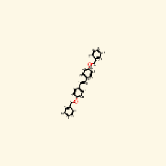 C(=Cc1ccc(OCc2ccccc2)cc1)c1ccc(OCc2ccccc2)cc1